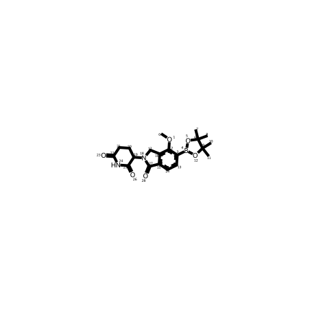 COc1c(B2OC(C)(C)C(C)(C)O2)ccc2c1CN(C1CCC(=O)NC1=O)C2=O